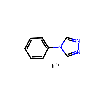 [Ir+3].c1ccc(-n2cnnc2)cc1